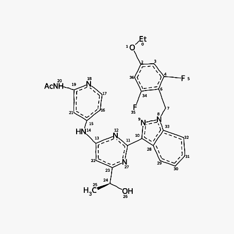 CCOc1cc(F)c(Cn2nc(-c3nc(Nc4ccnc(NC(C)=O)c4)cc([C@H](C)O)n3)c3ccccc32)c(F)c1